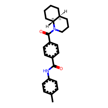 Cc1ccc(NC(=O)c2ccc(C(=O)N3CCC[C@@H]4CCCC[C@H]43)cc2)cc1